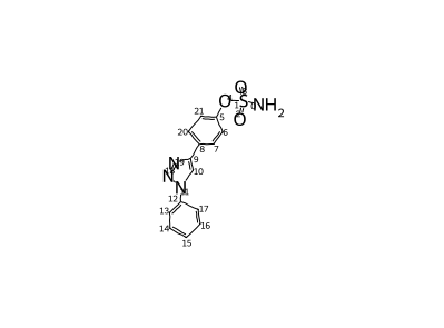 NS(=O)(=O)Oc1ccc(-c2cn(-c3ccccc3)nn2)cc1